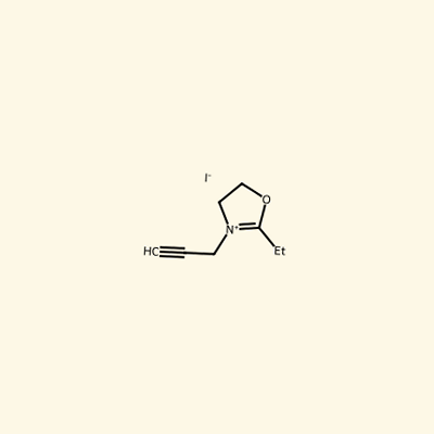 C#CC[N+]1=C(CC)OCC1.[I-]